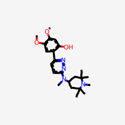 COc1cc(O)c(-c2ccc(N(C)C3CC(C)(C)N(C)C(C)(C)C3)nn2)cc1OC